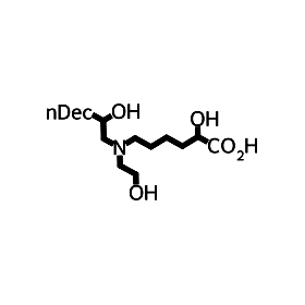 CCCCCCCCCCC(O)CN(CCO)CCCCC(O)C(=O)O